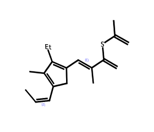 C=C(C)SC(=C)/C(C)=C/C1=C(CC)C(C)=C(/C=C\C)C1